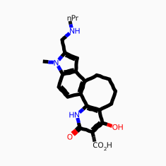 CCCNCc1cc2c3c(ccc2n1C)-c1[nH]c(=O)c(C(=O)O)c(O)c1CCCC3